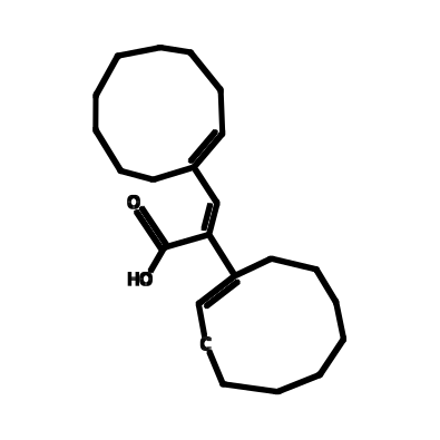 O=C(O)C(=CC1=CCCCCCCCC1)C1=CCCCCCCCC1